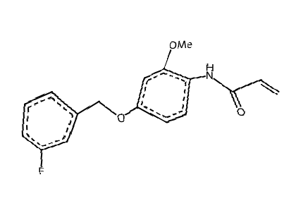 C=CC(=O)Nc1ccc(OCc2cccc(F)c2)cc1OC